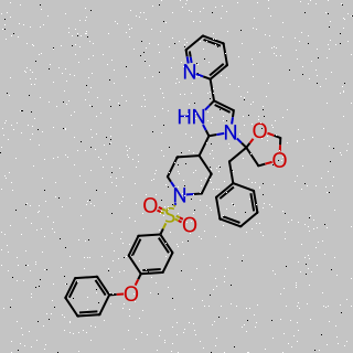 O=S(=O)(c1ccc(Oc2ccccc2)cc1)N1CCC(C2NC(c3ccccn3)=CN2C2(Cc3ccccc3)COCO2)CC1